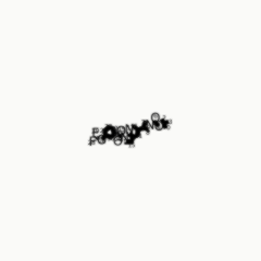 CC(C)(C)OC(=O)N1CC(c2cnc3c(ccn3S(=O)(=O)c3cccc(OC(F)F)c3)c2)C1